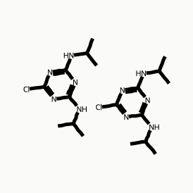 CC(C)Nc1nc(Cl)nc(NC(C)C)n1.CC(C)Nc1nc(Cl)nc(NC(C)C)n1